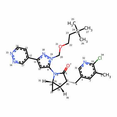 Cc1cc(C[C@H]2C(=O)N(c3cc(-c4ccnnc4)nn3COCC[Si](C)(C)C)[C@H]3C[C@@H]23)cnc1Cl